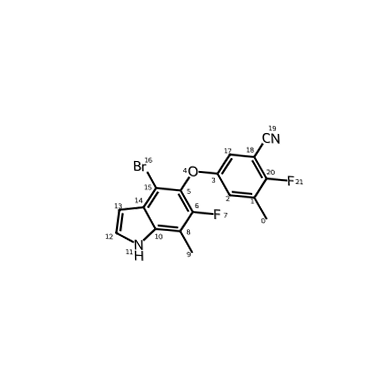 Cc1cc(Oc2c(F)c(C)c3[nH]ccc3c2Br)cc(C#N)c1F